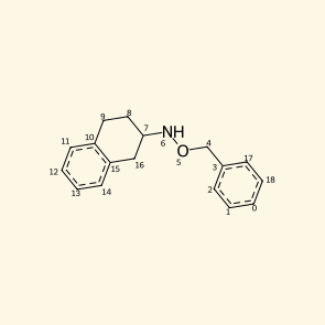 c1ccc(CONC2CCc3ccccc3C2)cc1